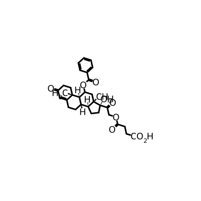 C[C@]12CCC(=O)C=C1CC[C@@H]1[C@@H]2C(OC(=O)c2ccccc2)C[C@@]2(C)[C@H]1CC[C@]2(O)C(=O)COC(=O)CCC(=O)O